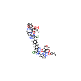 COC(=O)N[C@H](C(=O)N1C2CC2C[C@H]1c1nc(Cl)c(-c2ccc(-c3ccc(-c4[nH]c([C@@H]5CC6CC6N5C(=O)[C@@H](NC(=O)OC)C(C)(C)O)nc4Cl)cc3)cc2)[nH]1)C1CCOCC1